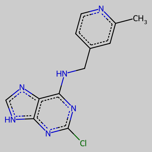 Cc1cc(CNc2nc(Cl)nc3[nH]cnc23)ccn1